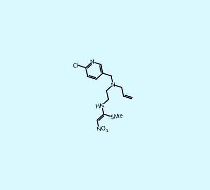 C=CCN(CCN/C(=C/[N+](=O)[O-])SC)Cc1ccc(Cl)nc1